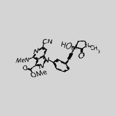 CNc1nc(C#N)cc2c1c(C(=O)OC)nn2-c1cccc(C#C[C@]2(O)CCN(C)C2=O)c1